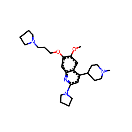 COc1cc2c(C3CCN(C)CC3)cc(N3CCCC3)nc2cc1OCCCN1CCCC1